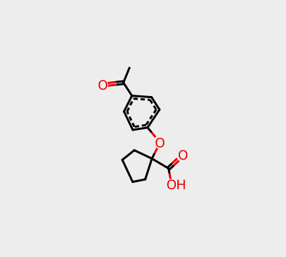 CC(=O)c1ccc(OC2(C(=O)O)CCCC2)cc1